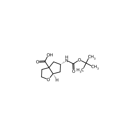 CC(C)(C)OC(=O)N[C@@H]1C[C@H]2OCCC2(C(=O)O)C1